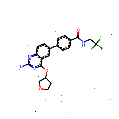 Nc1nc(OC2CCOC2)c2cc(-c3ccc(C(=O)NCC(F)(F)F)cc3)ccc2n1